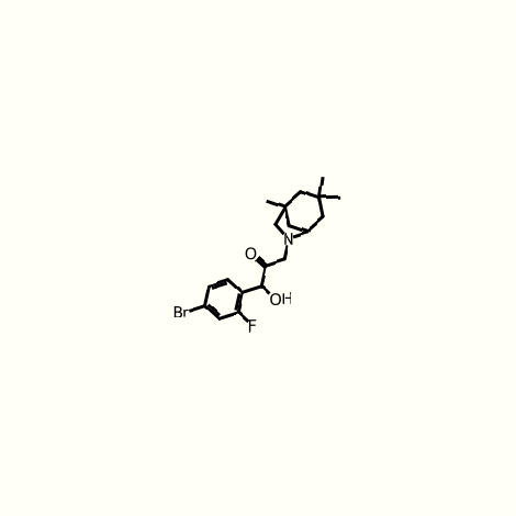 CC1(C)CC2CC(C)(CN2CC(=O)C(O)c2ccc(Br)cc2F)C1